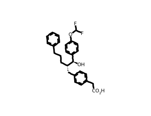 O=C(O)Cc1ccc(C[C@H](CCCc2ccccc2)[C@H](O)c2ccc(OC(F)F)cc2)cc1